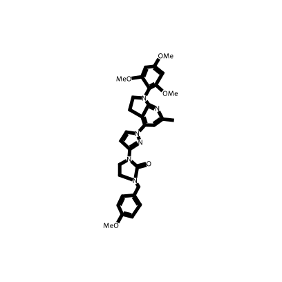 COc1ccc(CN2CCN(c3ccn(-c4cc(C)nc5c4CCN5c4c(OC)cc(OC)cc4OC)n3)C2=O)cc1